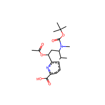 CC(=O)OC(CC(C(C)C)N(C)C(=O)OC(C)(C)C)c1cccc(C(=O)O)n1